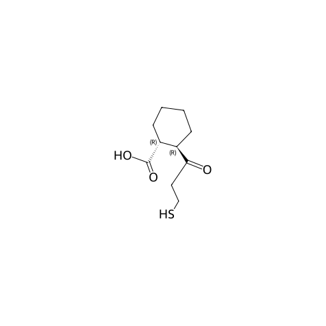 O=C(O)[C@@H]1CCCC[C@H]1C(=O)CCS